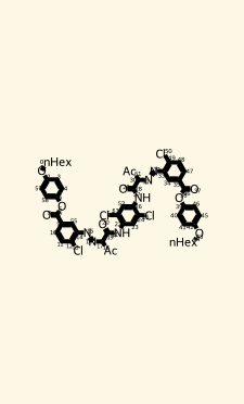 CCCCCCOc1ccc(OC(=O)c2ccc(Cl)c(/N=N/C(C(C)=O)C(=O)Nc3cc(Cl)c(NC(=O)C(/N=N/c4cc(C(=O)Oc5ccc(OCCCCCC)cc5)ccc4Cl)C(C)=O)cc3Cl)c2)cc1